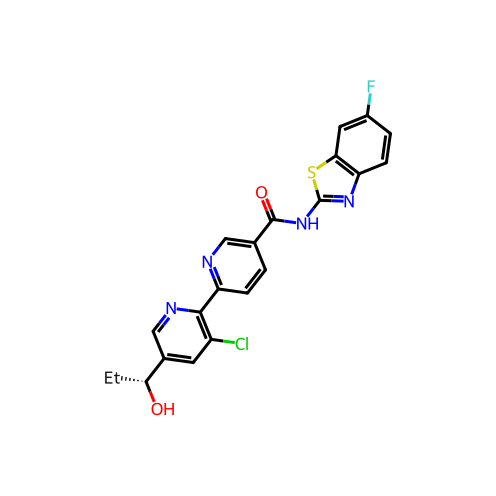 CC[C@@H](O)c1cnc(-c2ccc(C(=O)Nc3nc4ccc(F)cc4s3)cn2)c(Cl)c1